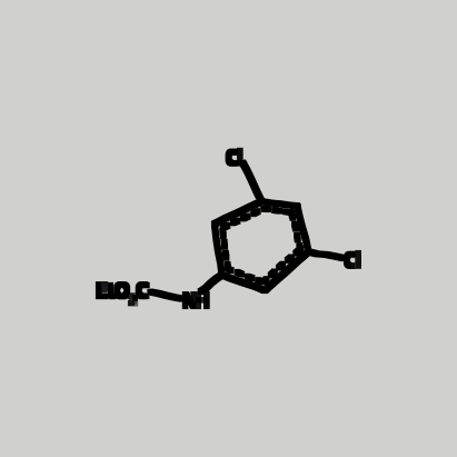 CCOC(=O)Nc1cc(Cl)cc(Cl)c1